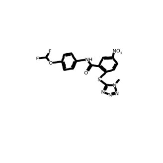 Cn1nnnc1Sc1ccc([N+](=O)[O-])cc1C(=O)Nc1ccc(OC(F)F)cc1